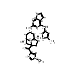 Cc1cc(Nc2nc(N[C@@H]3C[C@H]4CCC5(C(=O)c6cn(C)cn6)C[C@@H](C3)N45)nc3sccc23)n[nH]1